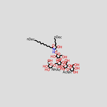 CCCCCCCCCCCCC/C=C/[C@@H](O)[C@H](CO[C@@H]1OC(CO)[C@@H](O[C@@H]2OC(CO[C@@H]3OC(CO)[C@@H](O)[C@H](O)C3NC(C)=O)[C@H](O)[C@H](O[C@H]3OC(CO)[C@H](O)[C@H](O[C@@H]4OC(CO)[C@H](O)[C@H](O)C4NC(C)=O)C3O)C2O)[C@H](O)C1O)NC(=O)CCCCCCCCCCCCCCCCCCCCC